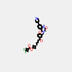 C[C@@H]1C(=O)N(C)c2cc(-c3ccncc3)ccc2C(=O)N1Cc1cccc(C(=O)CCCC[C@H]2C[C@@H](OC(=O)C3CC(F)(F)C3)C2)c1